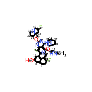 C#Cc1c(F)ccc2cc(O)cc(-c3nc(OCCNC)c4c(N5CC6CCC(C5)N6)nc(OC[C@@]56CCCN5C[C@H](F)C6)nc4c3F)c12